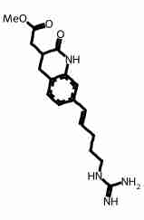 COC(=O)CC1Cc2ccc(C=CCCCNC(=N)N)cc2NC1=O